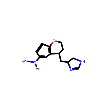 CCCN(C(C)=O)c1ccc2c(c1)C(CC1CNC=N1)CCO2